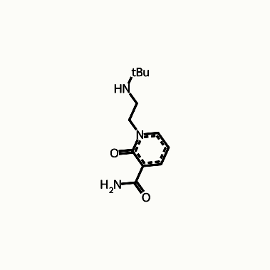 CC(C)(C)NCCn1cccc(C(N)=O)c1=O